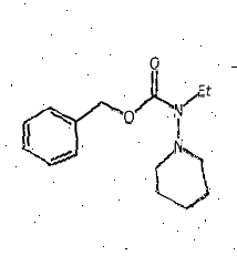 CCN(C(=O)OCc1ccccc1)N1CCCCC1